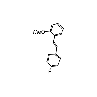 COc1ccccc1C=Cc1ccc(F)cc1